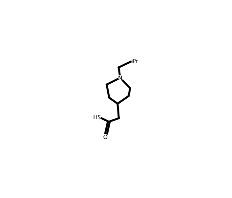 CC(C)CN1CCC(CC(=O)S)CC1